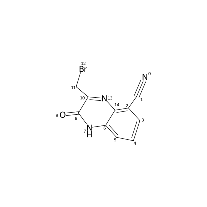 N#Cc1cccc2[nH]c(=O)c(CBr)nc12